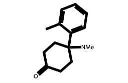 CNC1(c2ccccc2C)CCC(=O)CC1